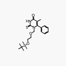 Cc1c(-c2ccccc2)n(COCCO[Si](C)(C)C(C)(C)C)c(=S)[nH]c1=O